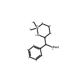 CCCCCC(c1ccccc1)C1CCC[Si](C)(C)O1